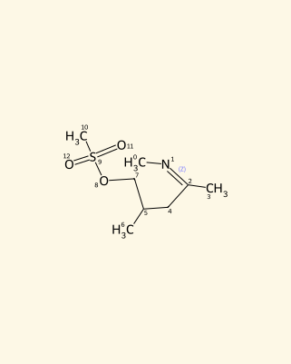 C/N=C(/C)CC(C)COS(C)(=O)=O